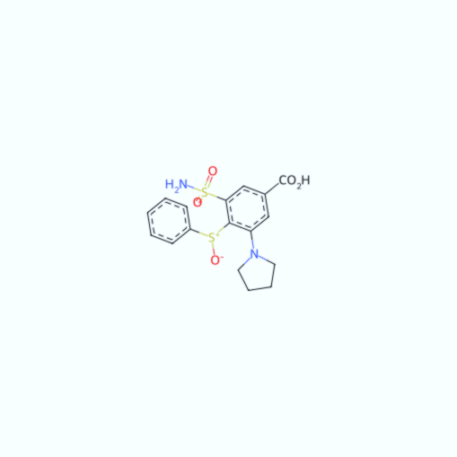 NS(=O)(=O)c1cc(C(=O)O)cc(N2CCCC2)c1[S+]([O-])c1ccccc1